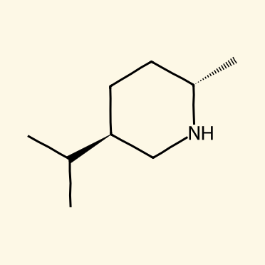 CC(C)[C@H]1CC[C@H](C)NC1